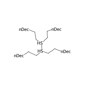 CCCCCCCCCCCC[SH](CCCCCCCCCCCC)[SH](CCCCCCCCCCCC)CCCCCCCCCCCC